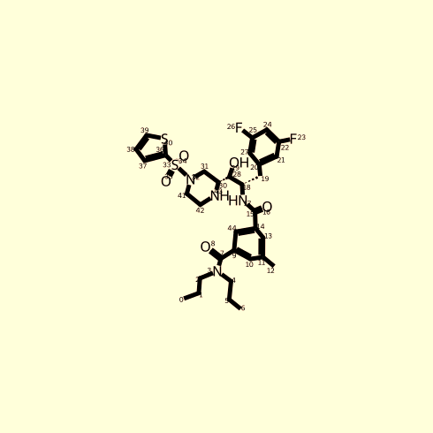 CCCN(CCC)C(=O)c1cc(C)cc(C(=O)N[C@@H](Cc2cc(F)cc(F)c2)C(O)[C@H]2CN(S(=O)(=O)c3cccs3)CCN2)c1